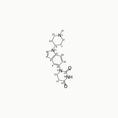 CN1CCC(n2ccc3cc(N4CCC(=O)NC4=O)ccc32)CC1